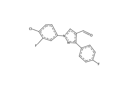 O=Cc1cn(-c2ccc(Cl)c(F)c2)nc1-c1ccc(F)cc1